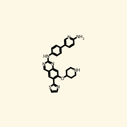 Nc1ccc(-c2ccc(Nc3ncc4cc(-c5nccs5)c(OC5CCNCC5)cc4n3)cc2)cn1